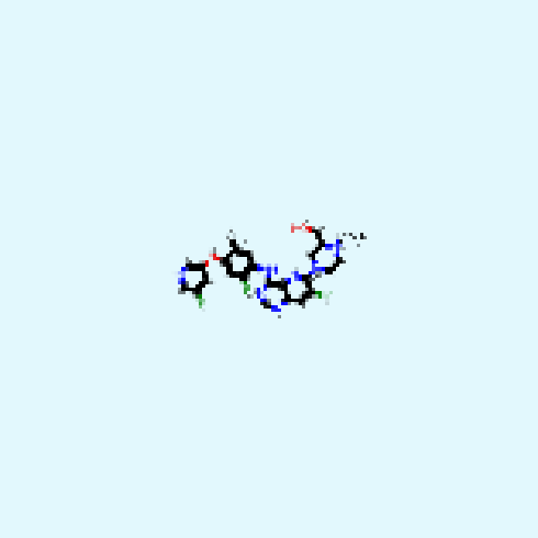 Cc1cc(Nc2ncnc3cc(Br)c(N4CCN(C(=O)O)C(CO)C4)nc23)c(F)cc1Oc1cncc(F)c1